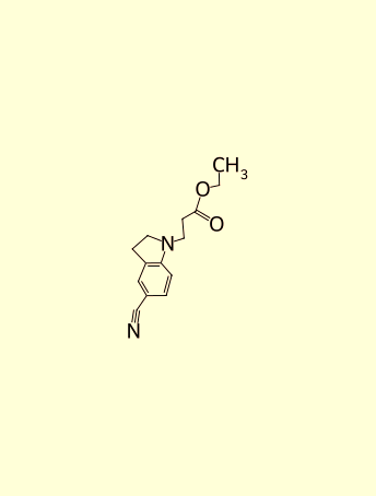 CCOC(=O)CCN1CCc2cc(C#N)ccc21